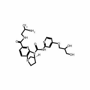 NC(CNC(=O)c1ccc2c(n1)N(C(=O)Nc1cc(OCC(O)CO)ccn1)[C@H]1CCN2C1)C(F)(F)F